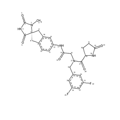 CN1C(=O)NC(=O)[C@@]12Cc1ccc(NC(=O)CN(Cc3cc(F)cc(F)c3)C(=O)C3CCC(=O)N3)cc1C2